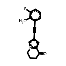 Cc1c(F)cccc1C#Cc1cc2n(c1)CCCC2=O